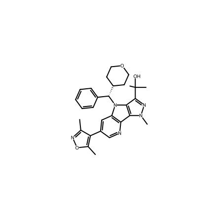 Cc1noc(C)c1-c1cnc2c3c(c(C(C)(C)O)nn3C)n([C@H](c3ccccc3)C3CCOCC3)c2c1